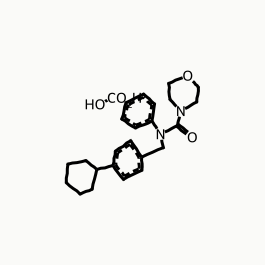 O=C(N1CCOCC1)N(Cc1ccc(C2CCCCC2)cc1)c1ccccc1.O=C(O)O